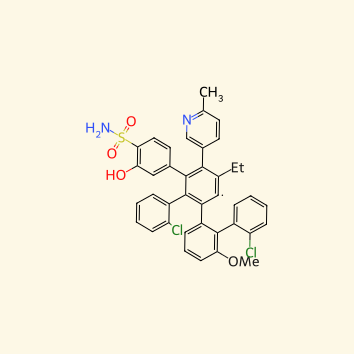 CCc1[c]c(-c2cccc(OC)c2-c2ccccc2Cl)c(-c2ccccc2Cl)c(-c2ccc(S(N)(=O)=O)c(O)c2)c1-c1ccc(C)nc1